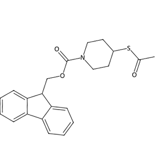 CC(=O)SC1CCN(C(=O)OCC2c3ccccc3-c3ccccc32)CC1